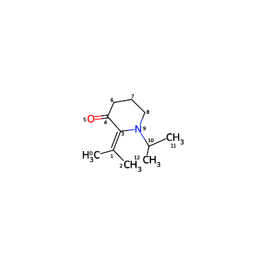 CC(C)=C1C(=O)CCCN1C(C)C